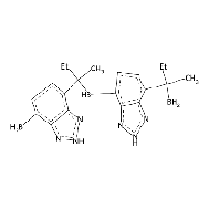 Bc1ccc(C(C)(Bc2ccc(C(B)(C)CC)c3n[nH]nc23)CC)c2n[nH]nc12